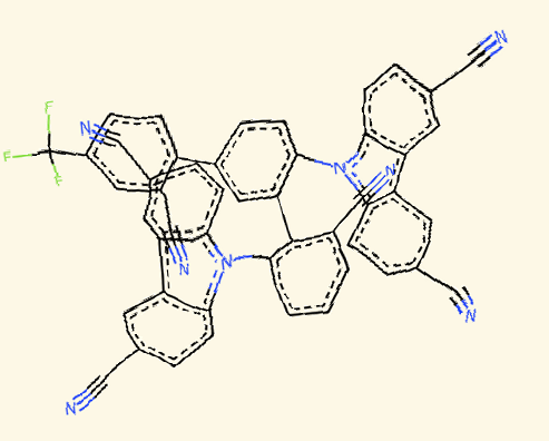 N#Cc1ccc2c(c1)c1cc(C#N)ccc1n2-c1ccc(-c2ccc(C(F)(F)F)cc2C#N)cc1-c1c(C#N)cccc1-n1c2ccc(C#N)cc2c2cc(C#N)ccc21